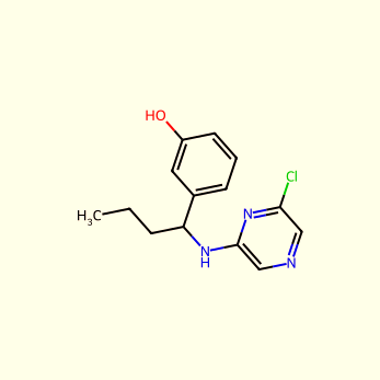 CCCC(Nc1cncc(Cl)n1)c1cccc(O)c1